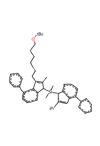 CC1=C(CCCCCCOC(C)(C)C)c2c(-c3ccccc3)cccc2C1[Si](C)(C)C1C(C(C)C)=Cc2c(-c3ccccc3)cccc21